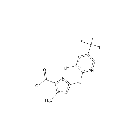 Cc1cc(Oc2ncc(C(F)(F)F)cc2Cl)nn1C(=O)Cl